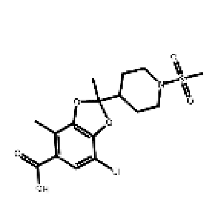 Cc1c(C(=O)O)cc(Cl)c2c1OC(C)(C1CCN(S(C)(=O)=O)CC1)O2